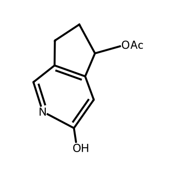 CC(=O)OC1CCc2cnc(O)cc21